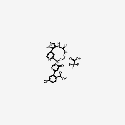 COC(=O)c1ccc(Cl)cc1-c1cc(=O)n([C@H]2CCC[C@@H](C)C(=O)Nc3cnn(C)c3-c3ccnc2c3)cn1.O=C(O)C(F)(F)F